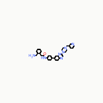 NCc1ccccc1CC(=O)Nc1ccc(-c2ccc3ncc(N4CCN(Cc5cccnc5)CC4)nc3c2)cc1